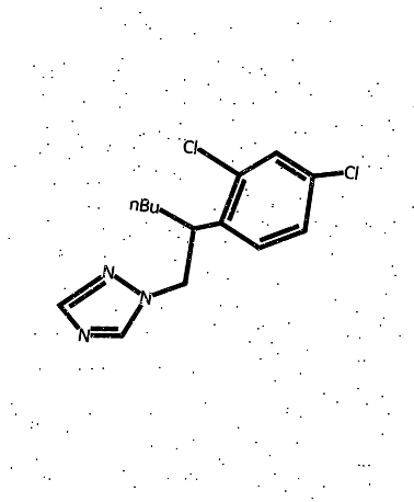 CCCCC(Cn1cncn1)c1ccc(Cl)cc1Cl